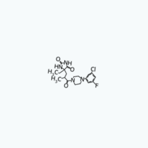 CCC1(CC(C)C(=O)N2CCN(c3cc(F)cc(Cl)c3)CC2)NC(=O)NC1=O